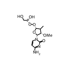 CO[C@H]1C(C)[C@@H](OOP(O)CO)O[C@H]1n1ccc(N)nc1=O